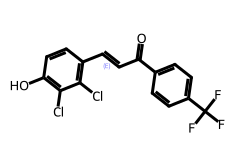 O=C(/C=C/c1ccc(O)c(Cl)c1Cl)c1ccc(C(F)(F)F)cc1